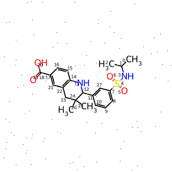 CC(C)NS(=O)(=O)c1cccc(C2Nc3ccc(C(=O)O)cc3CC2(C)C)c1